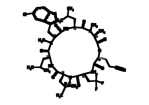 CC(C)C[C@@H]1NC(=O)[C@H](Cc2csc3ccc(Cl)cc23)N(C)C(=O)[C@H](CC(C)C)NC(=O)[C@H](CC(C)C)N(C)C(=O)[C@H](CC(F)(F)F)NC(=O)[C@@H](CCC#N)OC(=O)[C@H](C)N(C)C1=O